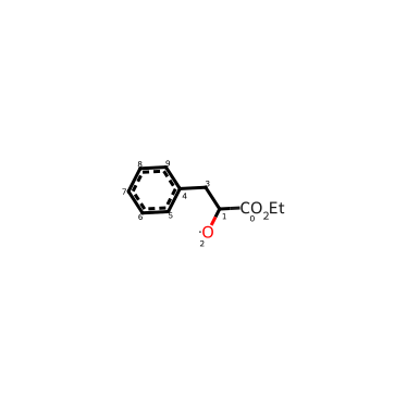 CCOC(=O)C([O])Cc1ccccc1